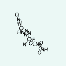 N#Cc1cc(-c2ncnc(Nc3ccc(N4CCN(C5COC5)CC4)cc3)n2)ccc1OC1CCN(C(=O)[C@H]2CNC(=O)C2)CC1F